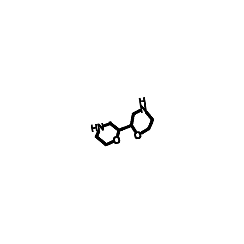 C1COC(C2CNCCO2)CN1